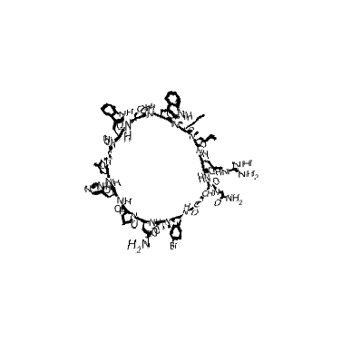 CCCC[C@H]1C(=O)N(C)[C@@H](CCCC)C(=O)N[C@@H](CCCNC(=N)N)C(=O)N[C@H](C(=O)NCC(N)=O)CSCC(=O)N[C@@H](Cc2ccc(Br)cc2)C(=O)N(C)[C@@H](C)C(=O)N[C@@H](CC(N)=O)C(=O)N2CCC[C@H]2C(=O)N[C@@H](Cc2cnc[nH]2)C(=O)N[C@@H](CC(C)C)C(=O)N(C)CC(=O)N[C@@H](Cc2c[nH]c3ccccc23)C(=O)N[C@@H](CO)C(=O)N[C@@H](Cc2c[nH]c3ccccc23)C(=O)N1C